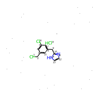 Cl.ClCc1cc(Cl)cc(Cc2ncc[nH]2)c1